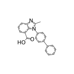 Cc1nc2cccc(C(=O)O)c2n1-c1ccc(-c2ccccc2)cc1